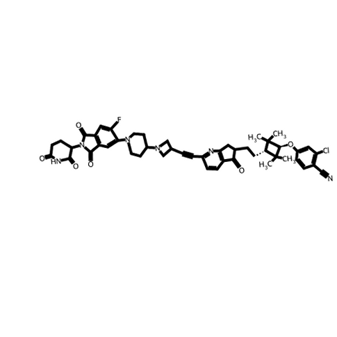 CC1(C)[C@H](CCC2Cc3nc(C#CC4CN(C5CCN(c6cc7c(cc6F)C(=O)N(C6CCC(=O)NC6=O)C7=O)CC5)C4)ccc3C2=O)C(C)(C)[C@H]1Oc1ccc(C#N)c(Cl)c1